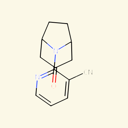 N#Cc1cccnc1N1C2CCC1CC(=O)C2